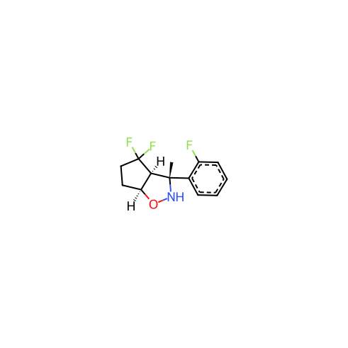 C[C@@]1(c2ccccc2F)NO[C@H]2CCC(F)(F)[C@H]21